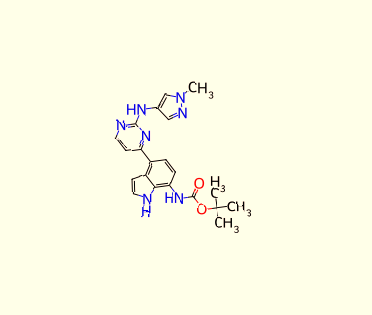 Cn1cc(Nc2nccc(-c3ccc(NC(=O)OC(C)(C)C)c4[nH]ccc34)n2)cn1